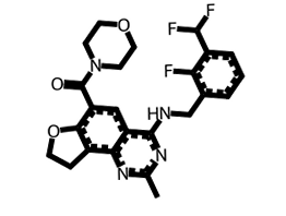 Cc1nc(NCc2cccc(C(F)F)c2F)c2cc(C(=O)N3CCOCC3)c3c(c2n1)CCO3